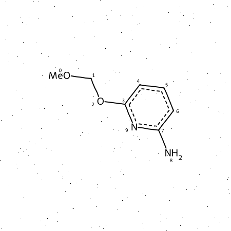 COCOc1cccc(N)n1